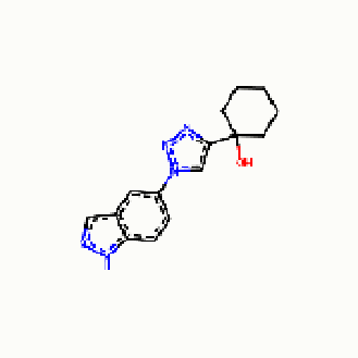 OC1(c2cn(-c3ccc4[nH]ncc4c3)nn2)CCCCC1